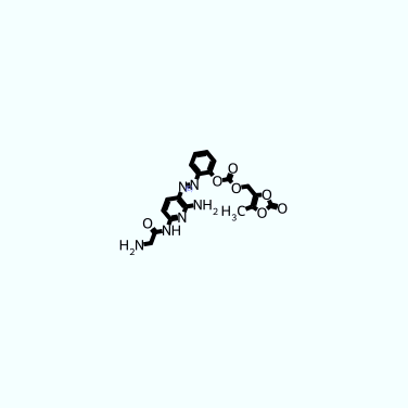 Cc1oc(=O)oc1COC(=O)Oc1ccccc1/N=N/c1ccc(NC(=O)CN)nc1N